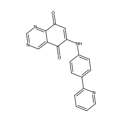 O=C1C(Nc2ccc(-c3ccccn3)cc2)=CC(=O)c2ncncc21